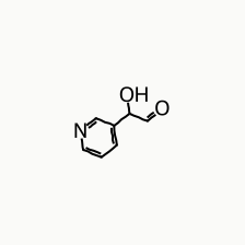 O=CC(O)c1cccnc1